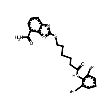 CC(C)c1cccc(C(C)C)c1NC(=O)CCCCCSc1nc2cccc(C(N)=O)c2o1